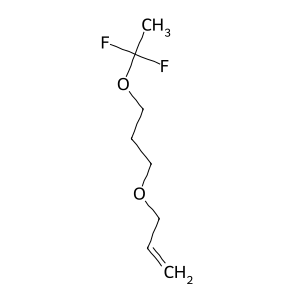 C=CCOCCCOC(C)(F)F